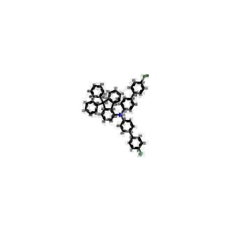 Fc1ccc(-c2ccc(N(c3ccc(-c4ccc(F)cc4)cc3)c3cccc4c3-c3ccccc3C4(c3ccccc3)c3ccccc3)cc2)cc1